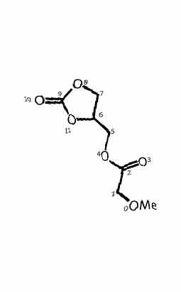 COCC(=O)OCC1COC(=O)O1